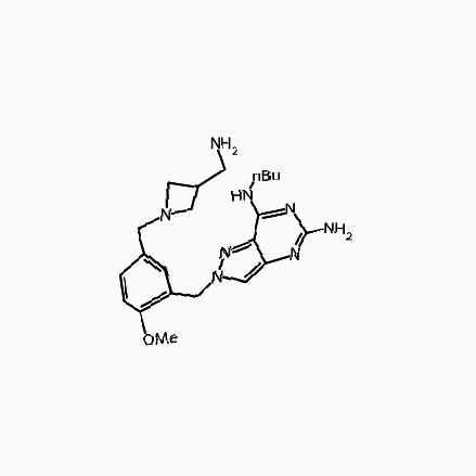 CCCCNc1nc(N)nc2cn(Cc3cc(CN4CC(CN)C4)ccc3OC)nc12